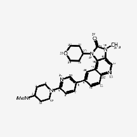 CNC1CCN(c2ccc(-c3ccc4ncc5c(c4c3)n(C3CCOCC3)c(=O)n5C)cn2)CC1